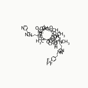 CO[C@]1(C)C[C@@H](C)C(=O)[C@@H]2C(CCCn3cnc(-c4cccnc4)c3)N3C(=O)O[C@@](C)([C@H]23)[C@@H](I)OC(=O)[C@H](C)C(=O)[C@H](C)[C@H]1O[C@@H]1O[C@H](C)C[C@H](N(C)CCc2cn(CCc3ccc(C(F)(F)F)cc3)nn2)[C@H]1O